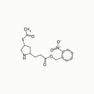 CC(=O)SC1CNC(CCC(=O)OCc2ccccc2[N+](=O)[O-])C1